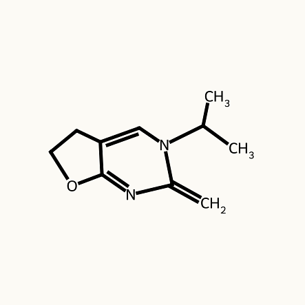 C=C1N=C2OCCC2=CN1C(C)C